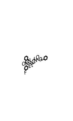 CCC(c1nc2ccccc2c(=O)n1-c1ccc(F)cc1)N1CCN(C(=O)COCc2ccccc2)C(C)C1